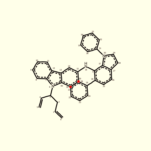 C=CCC(C=C)n1c2ccccc2c2cc(Nc3c(-c4ccccc4)ccc4ccn(-c5ccccc5)c34)ccc21